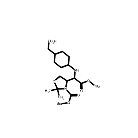 CC(C)(C)OC(=O)C(NC1CCC(CC(=O)O)CC1)C1COC(C)(C)N1C(=O)OC(C)(C)C